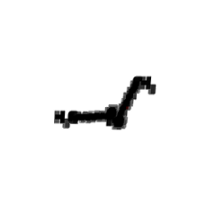 CCCCCCCCCCCCC1=[C]([Ti][C]2=C(CCCCCCCCCCCC)C=CC2)CC=C1